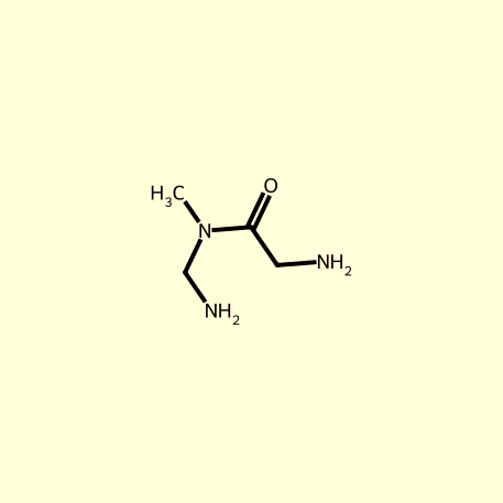 CN(CN)C(=O)CN